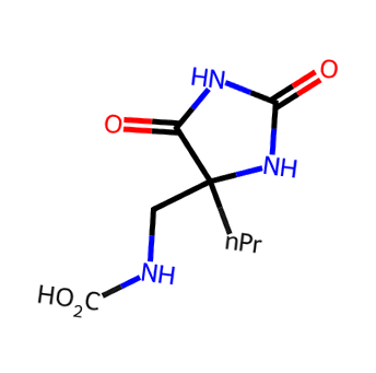 CCCC1(CNC(=O)O)NC(=O)NC1=O